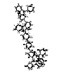 c1ccc(-n2c3ccccc3c3ccc(-c4cccc5c4c4ccccc4n5-c4ccc(-c5ccc(-c6ccc(-n7c8ccccc8c8ccccc87)c(-n7c8ccccc8c8ccccc87)c6)cc5)cc4)cc32)cc1